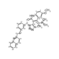 COc1ccc2[nH]c(=O)c(-c3nnnn3Cc3cccc(OCc4ccc5ccccc5n4)c3)c(C(C)N(C)C)c2c1